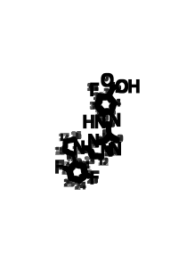 O=C(O)c1cc2nc(-c3cnn4ccc(N5CCC[C@@H]5c5cc(F)ccc5F)nc34)[nH]c2cc1F